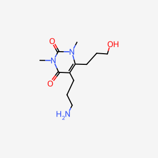 Cn1c(CCCO)c(CCCN)c(=O)n(C)c1=O